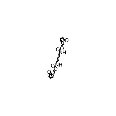 O=C(NCCCCCNC(=O)OCCN1CCCC1=O)OCCN1CCCC1=O